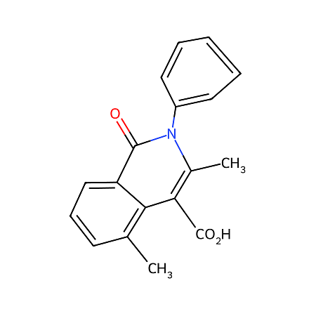 Cc1cccc2c(=O)n(-c3ccccc3)c(C)c(C(=O)O)c12